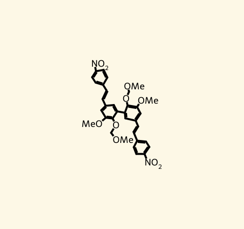 COCOc1c(OC)cc(C=Cc2ccc([N+](=O)[O-])cc2)cc1-c1cc(C=Cc2ccc([N+](=O)[O-])cc2)cc(OC)c1OCOC